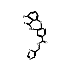 O=C(NCc1cncs1)c1ccc2c(c1)NC(=O)c1c(F)cccc1S2